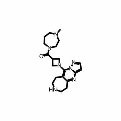 CN1CCCN(C(=O)C2CN(c3c4c(nc5ccnn35)CCNCC4)C2)CC1